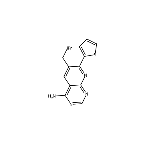 CC(C)Cc1cc2c(N)ncnc2nc1-c1cccs1